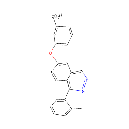 Cc1ccccc1-c1nncc2cc(Oc3cccc(C(=O)O)c3)ccc12